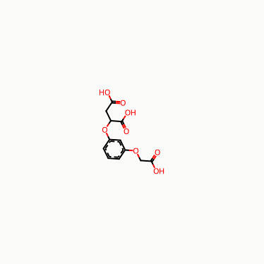 O=C(O)COc1cccc(OC(CC(=O)O)C(=O)O)c1